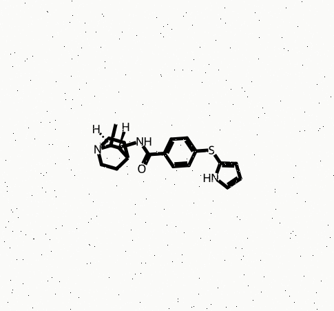 C[C@H]1[C@H](NC(=O)c2ccc(Sc3ccc[nH]3)cc2)C2CCN1CC2